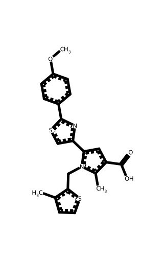 COc1ccc(-c2nc(-c3cc(C(=O)O)c(C)n3Cc3sccc3C)cs2)cc1